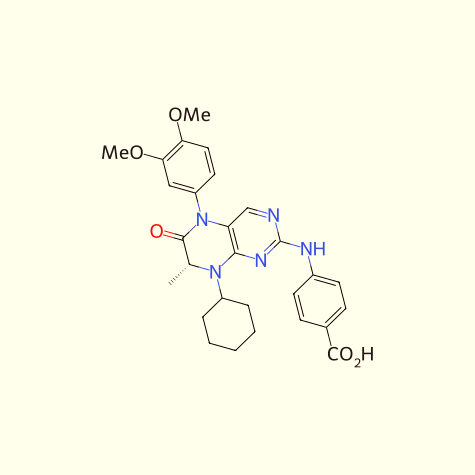 COc1ccc(N2C(=O)[C@@H](C)N(C3CCCCC3)c3nc(Nc4ccc(C(=O)O)cc4)ncc32)cc1OC